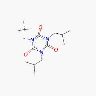 CC(C)Cn1c(=O)n(CC(C)C)c(=O)n(CC(C)(C)C)c1=O